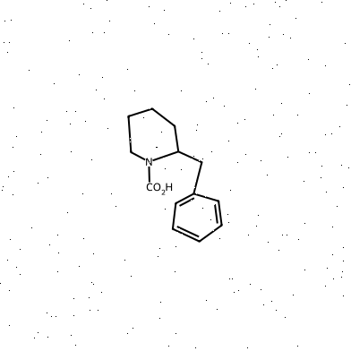 O=C(O)N1CCCCC1Cc1ccccc1